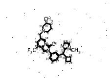 C[C@H]1CCCN(Cc2cc(C(F)(F)F)c3cn(-c4cccc(C(c5nncn5C)C5CCC5)c4)c(=O)n3c2)C1